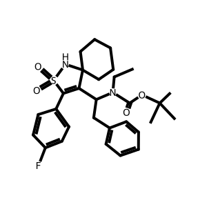 CCN(C(=O)OC(C)(C)C)C(Cc1ccccc1)C1=C(c2ccc(F)cc2)S(=O)(=O)NC12CCCCC2